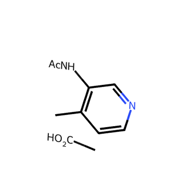 CC(=O)Nc1cnccc1C.CC(=O)O